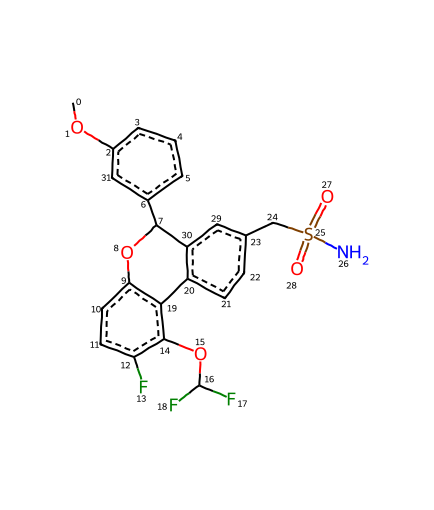 COc1cccc(C2Oc3ccc(F)c(OC(F)F)c3-c3ccc(CS(N)(=O)=O)cc32)c1